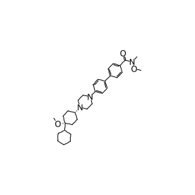 CON(C)C(=O)c1ccc(-c2ccc(N3CCN([C@H]4CC[C@](OC)(C5CCCCC5)CC4)CC3)cc2)cc1